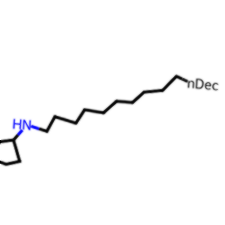 CCCCCCCCCCCCCCCCCCCCNC1CCCC1